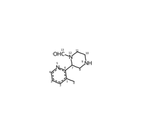 Cc1cccnc1C1CNCCN1[C]=O